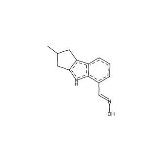 CC1Cc2[nH]c3c(C=NO)cccc3c2C1